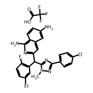 CCc1ccc(F)c(C(c2cc3cc(N)ccc3c(N)n2)c2nc(-c3ccc(Cl)cc3)nn2C)c1.O=C(O)C(F)(F)F